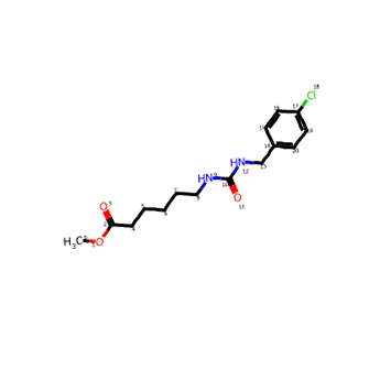 COC(=O)CCCCCNC(=O)NCc1ccc(Cl)cc1